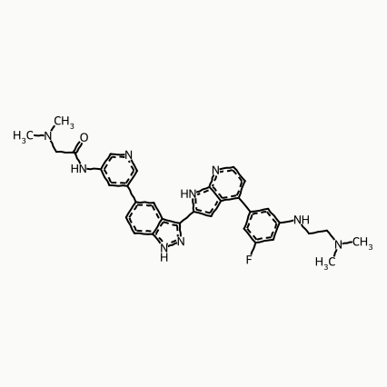 CN(C)CCNc1cc(F)cc(-c2ccnc3[nH]c(-c4n[nH]c5ccc(-c6cncc(NC(=O)CN(C)C)c6)cc45)cc23)c1